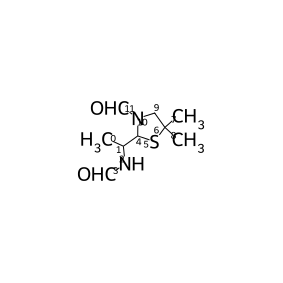 CC(NC=O)C1SC(C)(C)CN1C=O